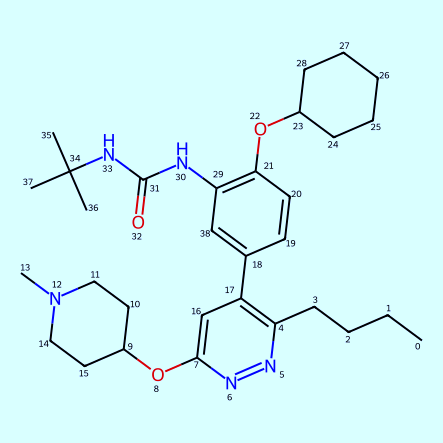 CCCCc1nnc(OC2CCN(C)CC2)cc1-c1ccc(OC2CCCCC2)c(NC(=O)NC(C)(C)C)c1